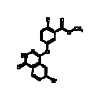 COC(=O)c1cc(Oc2n[nH]c(=O)c3ccc(Br)cc23)ccc1F